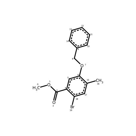 COC(=O)c1cc(OCc2ccccc2)c(C)cc1Br